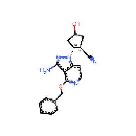 N#C[C@@H]1CC(O)C[C@H]1n1nc(N)c2c(OCc3ccccc3)nccc21